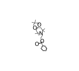 CC1(C)COC2(CC(C)(C)N(CCOC(=O)c3ccccc3)C(C)(C)C2)OC1